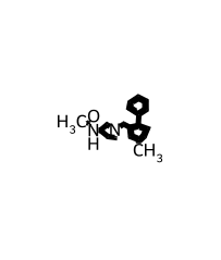 CC(=O)NC1CCN(Cc2cc(C)ccc2-c2ccccc2)C1